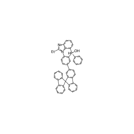 CCc1nc2cccc3c2n1-c1ccc(-c2ccc4c(c2)C2(c5ccccc5-c5ccccc52)c2ccccc2-4)cc1[PH]3(O)c1ccccc1